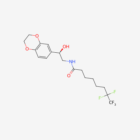 O=C(CCCCCC(F)(F)C(F)(F)F)NC[C@H](O)c1ccc2c(c1)OCCO2